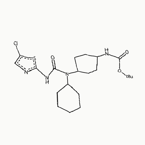 CC(C)(C)OC(=O)NC1CCC(N(C(=O)Nc2ncc(Cl)s2)C2CCCCC2)CC1